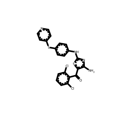 Nc1nc(Nc2ccc(Sc3ccncc3)cc2)sc1C(=O)c1c(Cl)cccc1Cl